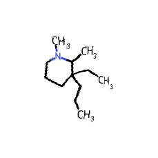 CCCC1(CC)CCCN(C)C1C